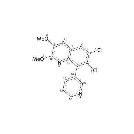 COc1nc2cc(Cl)c(Cl)c(-c3cccnc3)c2nc1OC